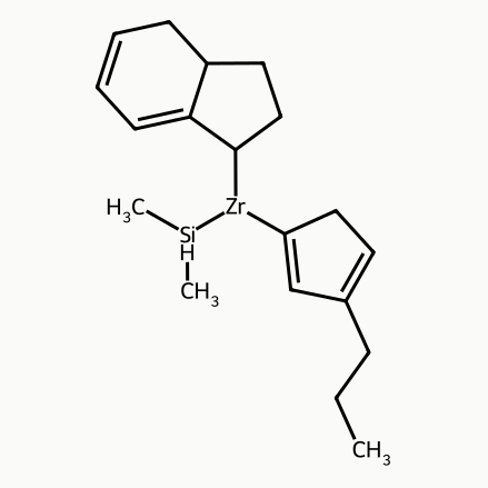 CCCC1=CC[C]([Zr]([CH]2CCC3CC=CC=C32)[SiH](C)C)=C1